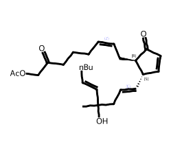 CCCCC=CC(C)(O)C/C=C/[C@H]1C=CC(=O)[C@@H]1C/C=C\CCCC(=O)COC(C)=O